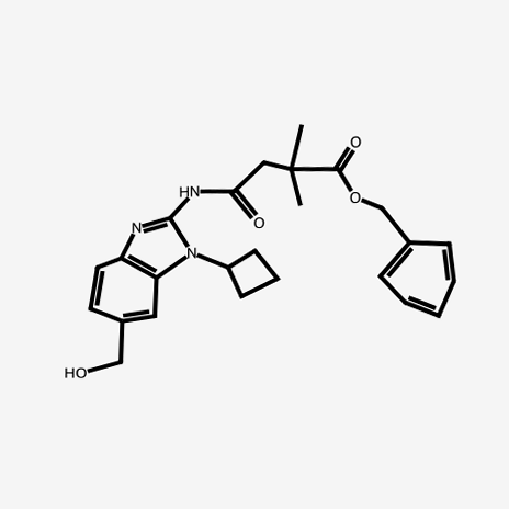 CC(C)(CC(=O)Nc1nc2ccc(CO)cc2n1C1CCC1)C(=O)OCc1ccccc1